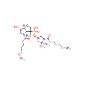 CCC(C)(C1C[C@@H](O)CN1C(=O)CCCCOC)P(=O)(O)O[C@H]1CN(C(=O)CCCCOC)C(C)(C)C1